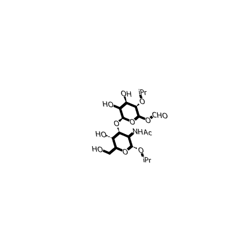 CC(=O)NC1[C@H](OC(C)C)OC(CO)[C@H](O)[C@@H]1O[C@@H]1OC(OC=O)[C@@H](OC(C)C)[C@H](O)C1O